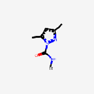 [CH2]CNC(=O)n1nc(C)cc1C